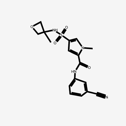 Cn1cc(S(=O)(=O)NC2(C)COC2)cc1C(=O)Nc1cccc(C#N)c1